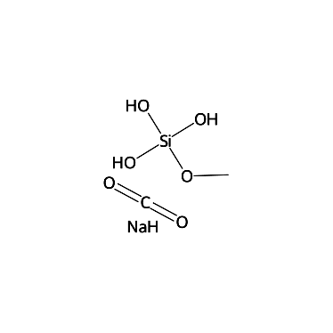 CO[Si](O)(O)O.O=C=O.[NaH]